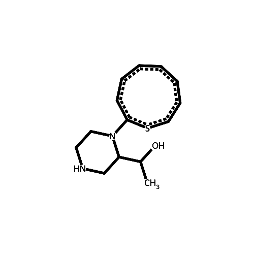 CC(O)C1CNCCN1c1cccccccs1